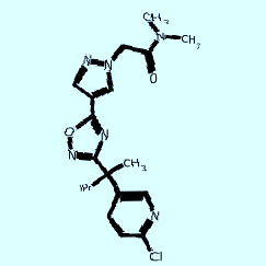 CC(C)C(C)(c1ccc(Cl)nc1)c1noc(-c2cnn(CC(=O)N(C)C)c2)n1